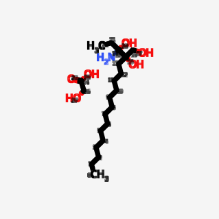 CCCCCCCCCCCCCCC(O)(CO)C(N)(O)CC.O=C(O)CO